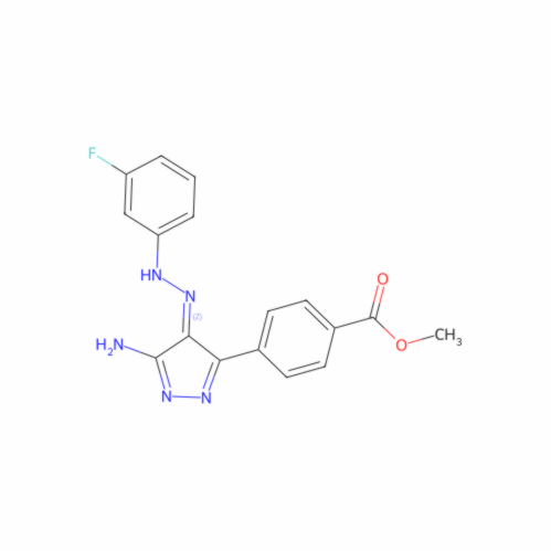 COC(=O)c1ccc(C2=NN=C(N)/C2=N\Nc2cccc(F)c2)cc1